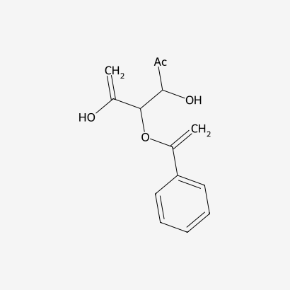 C=C(OC(C(=C)O)C(O)C(C)=O)c1ccccc1